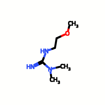 COCCNC(=N)N(C)C